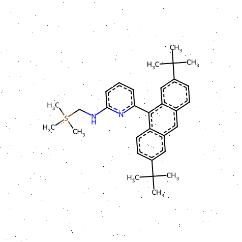 CC(C)(C)c1ccc2c(-c3cccc(NCS(C)(C)C)n3)c3cc(C(C)(C)C)ccc3cc2c1